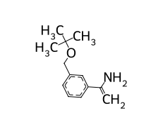 C=C(N)c1cccc(COC(C)(C)C)c1